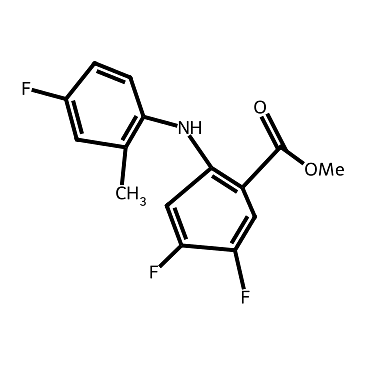 COC(=O)c1cc(F)c(F)cc1Nc1ccc(F)cc1C